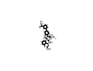 CC1(C)OC(N[C@@H](CCO)c2ccccc2F)=NS(=O)(=O)C1c1ccc(-c2cccc(C(N)=O)c2)cc1